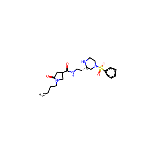 CCCCN1CC(C(=O)NCC[C@H]2CN(S(=O)(=O)c3ccccc3)CCN2)CC1=O